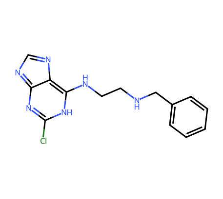 Clc1nc2ncnc-2c(NCCNCc2ccccc2)[nH]1